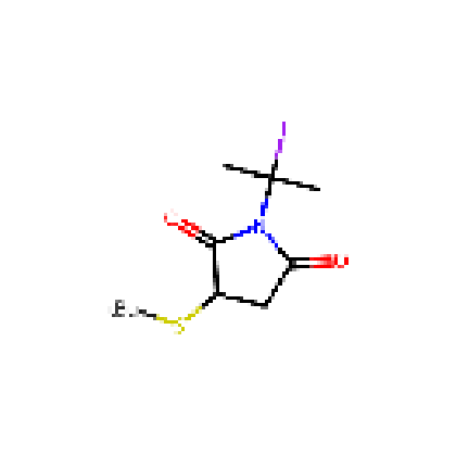 CC(C)(C)SC1CC(=O)N(C(C)(C)I)C1=O